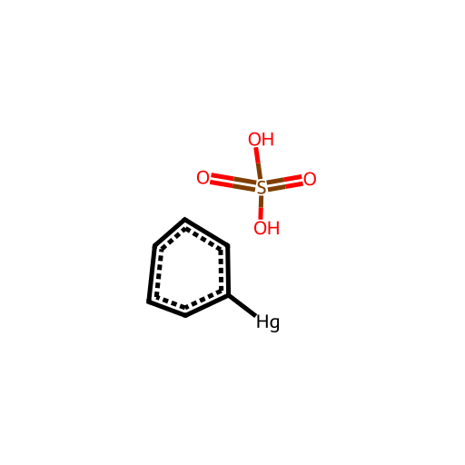 O=S(=O)(O)O.[Hg][c]1ccccc1